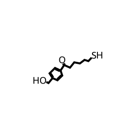 O=C(CCCCCS)c1ccc(CO)cc1